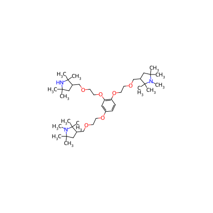 CN1C(C)(C)CC(COCCOc2ccc(OCCOCC3CC(C)(C)N(C)C3(C)C)c(OCCOCC3CC(C)(C)NC3(C)C)c2)C1(C)C